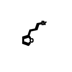 Br/C=C/Cc1ccco1